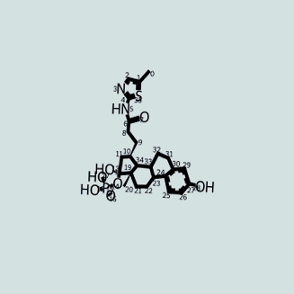 Cc1cnc(NC(=O)CC[C@@H]2C[C@](O)(OP(=O)(O)O)[C@@]3(C)CCC4c5ccc(O)cc5CCC4C23)s1